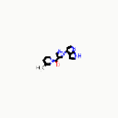 CC1CCCN(C(=O)c2cnn(-c3ccnc4[nH]ccc34)c2)C1